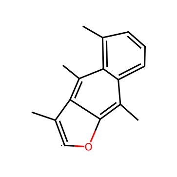 Cc1c2cccc(C)c2c(C)c2c(C)[c]oc12